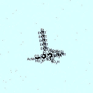 CC(=O)NC(CCS[C@@H]1O[C@H](COS(=O)(=O)O)[C@@H](O[C@H]2O[C@H](COS(=O)(=O)O)[C@@H](OS(=O)(=O)O)[C@H](OS(=O)(=O)O)[C@H]2OS(=O)(=O)O)[C@H](OS(=O)(=O)O)[C@H]1OS(=O)(=O)O)C(=O)O.CCN(CC)CC.CCN(CC)CC.CCN(CC)CC.CCN(CC)CC.CCN(CC)CC.CCN(CC)CC.CCN(CC)CC